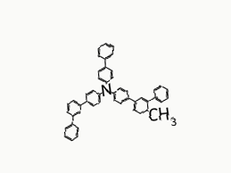 CC1CC=C(c2ccc(N(c3ccc(-c4ccccc4)cc3)c3ccc(-c4cccc(-c5ccccc5)c4)cc3)cc2)C=C1c1ccccc1